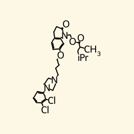 CC(C)CC(C)C(=O)OCN1C(=O)CCc2ccc(OCCCCN3CCN(c4cccc(Cl)c4Cl)CC3)cc21